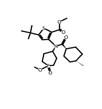 COC(=O)c1sc(C(C)(C)C)cc1N(C(=O)[C@H]1CC[C@H](C)CC1)C1CCP(=O)(OC)CC1